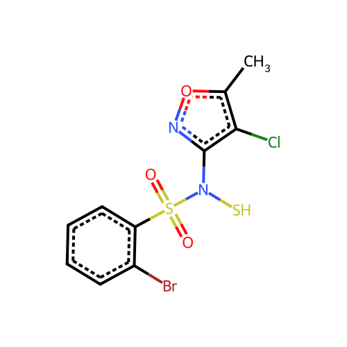 Cc1onc(N(S)S(=O)(=O)c2ccccc2Br)c1Cl